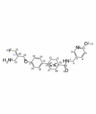 COc1ccc(CNC(=O)C23CCC(c4ccc(OC/C(=C/F)CN)cc4)(CC2)CC3)cn1